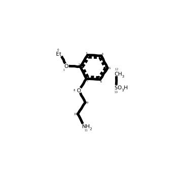 CCOc1ccccc1OCCN.CS(=O)(=O)O